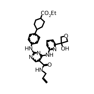 C=CCNC(=O)c1cnc(Nc2ccc(C3CCC(C(=O)OCC)CC3)cc2)nc1Nc1cccc(C2(O)COC2)n1